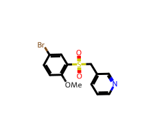 COc1ccc(Br)cc1S(=O)(=O)Cc1cccnc1